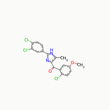 COc1ccc(Cl)c(C(=O)c2nc(-c3ccc(Cl)c(Cl)c3)[nH]c2C)c1